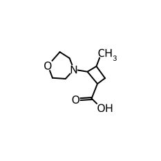 CC1CC(C(=O)O)C1N1CCOCC1